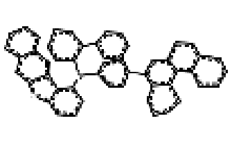 c1ccc(-c2ccccc2N(c2ccc(-c3cc4ccc5ccccc5c4c4ccccc34)cc2)c2cccc3oc4cc5ccccc5cc4c23)cc1